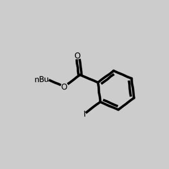 CCCCOC(=O)c1ccccc1I